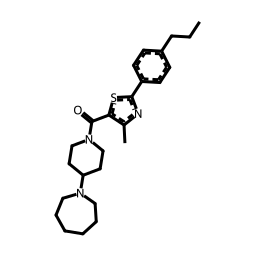 CCCc1ccc(-c2nc(C)c(C(=O)N3CCC(N4CCCCCC4)CC3)s2)cc1